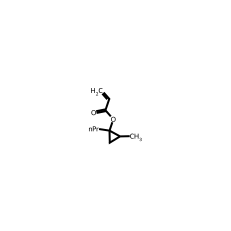 C=CC(=O)OC1(CCC)CC1C